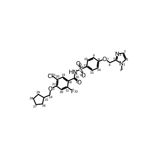 Cn1ccnc1COc1ccc(S(=O)(=O)NC(=O)c2cc(Cl)c(OCC3CCCC3)cc2F)cc1